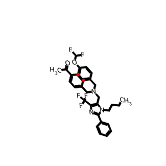 CCCCn1c(-c2ccccc2)nc(C(F)(F)F)c1CN(Cc1ccc(OC(F)F)cc1)Cc1ccc(C(C)=O)cc1